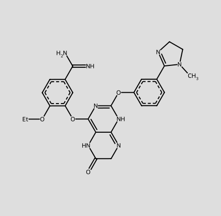 CCOc1ccc(C(=N)N)cc1OC1=C2NC(=O)CN=C2NC(Oc2cccc(C3=NCCN3C)c2)=N1